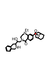 CCN1CCN(CC(O)C2Cc3ccccc3CN2)C(=O)c2ccc(C(=O)N3C4CCCC3COC4)cc21